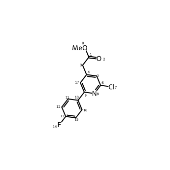 COC(=O)Cc1cc(Cl)nc(-c2ccc(F)cc2)c1